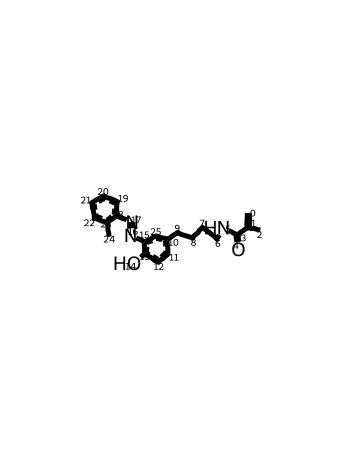 C=C(C)C(=O)NCCCCc1ccc(O)c(N=Nc2ccccc2C)c1